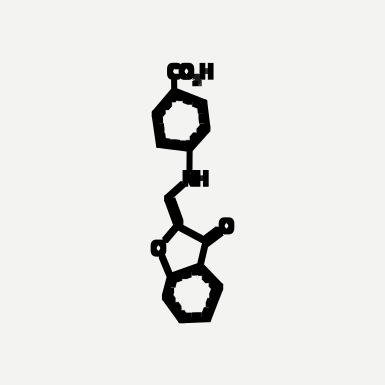 O=C(O)c1ccc(NC=C2Oc3ccccc3C2=O)cc1